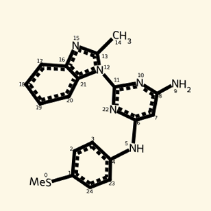 CSc1ccc(Nc2cc(N)nc(-n3c(C)nc4ccccc43)n2)cc1